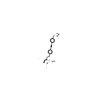 COC1CN(Cc2ccc(C#Cc3ccc([C@H](CN[C@H](C)CF)Cc4nc[nH]c(=O)c4O)cc3)cc2)C1